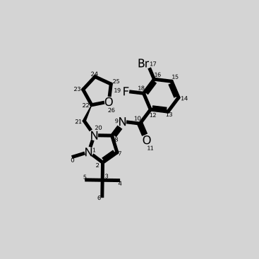 Cn1c(C(C)(C)C)c/c(=N\C(=O)c2cccc(Br)c2F)n1C[C@H]1CCCO1